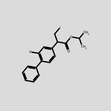 CC(C)OC(=O)C(CI)c1ccc(-c2ccccc2)c(F)c1